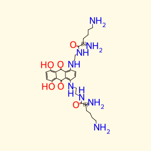 NCCCC[C@H](N)C(=O)NCCNc1ccc(NCCNC(=O)[C@@H](N)CCCCN)c2c1C(=O)c1c(O)ccc(O)c1C2=O